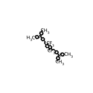 Cc1ccc(N(c2ccc(C)cc2)c2ccc(C=Cc3ccc4c(C(F)(F)F)c(C=Cc5ccc(N(c6ccc(C)cc6)c6ccc(C)cc6)cc5)ccc4c3C(F)(F)F)cc2)cc1